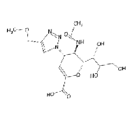 COCc1cn([C@H]2C=C(C(=O)O)O[C@@H]([C@H](O)C(O)CO)[C@@H]2NC(C)=O)nn1